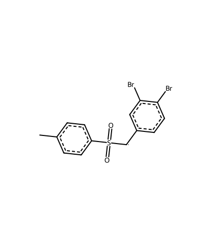 Cc1ccc(S(=O)(=O)[CH]c2ccc(Br)c(Br)c2)cc1